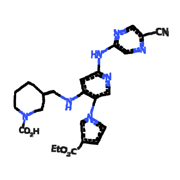 CCOC(=O)c1ccn(-c2cnc(Nc3cnc(C#N)cn3)cc2NCC2CCCN(C(=O)O)C2)c1